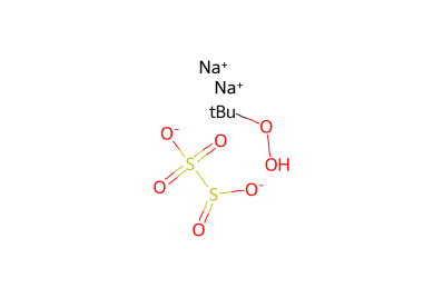 CC(C)(C)OO.O=S([O-])S(=O)(=O)[O-].[Na+].[Na+]